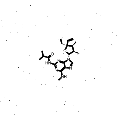 C=C[C@]1(CC)O[C@@H](n2cnc3c(NC)nc(NC(=O)C(C)C)nc32)[C@H](F)[C@@H]1C